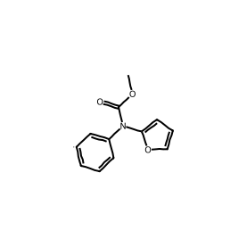 COC(=O)N(c1c[c]ccc1)c1ccco1